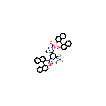 CC1(C)CC(N(C(=O)O)c2ccc3ccccc3c2-c2c(O)ccc3ccccc23)CC(C)(CNC(=O)Oc2ccc3ccccc3c2-c2c(O)ccc3ccccc23)C1